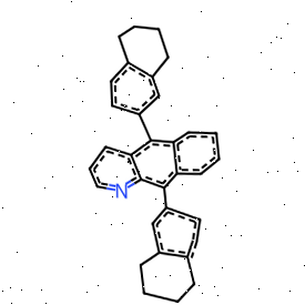 c1ccc2c(-c3ccc4c(c3)CCCC4)c3ncccc3c(-c3ccc4c(c3)CCCC4)c2c1